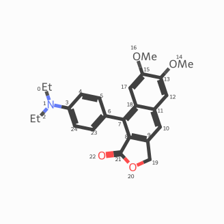 CCN(CC)c1ccc(-c2c3c(cc4cc(OC)c(OC)cc24)COC3=O)cc1